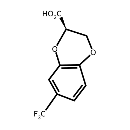 O=C(O)[C@H]1COc2ccc(C(F)(F)F)cc2O1